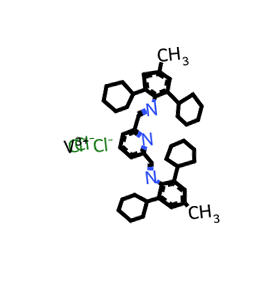 Cc1cc(C2CCCCC2)c(N=Cc2cccc(C=Nc3c(C4CCCCC4)cc(C)cc3C3CCCCC3)n2)c(C2CCCCC2)c1.[Cl-].[Cl-].[Cl-].[V+3]